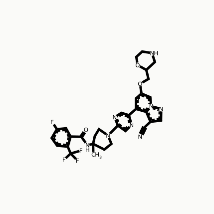 CC1(NC(=O)c2cc(F)ccc2C(F)(F)F)CCN(c2cnc(-c3cc(OCC4CNCCO4)cn4ncc(C#N)c34)cn2)CC1